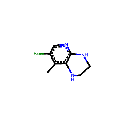 Cc1c(Br)cnc2c1NCCN2